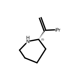 C=C(C(C)C)[C@@H]1CCCCN1